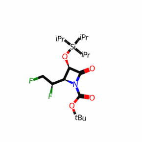 CC(C)[Si](O[C@H]1C(=O)N(C(=O)OC(C)(C)C)[C@H]1[C@@H](F)CF)(C(C)C)C(C)C